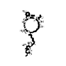 CC[C@H]1C[C@H](C)[C@@]2(NC1=O)O[C@@H](C[C@H](O)[C@@H](C)CC/C=C/C=C(\C)[C@@H]1C/C=C/C=C/[C@H](O)[C@H](C)[C@@H](O)[C@@H](CCC(C)=O)C(=O)N[C@@H](C(C)C)C(=O)N[C@@H](Cc3cccc(O)c3)C(=O)NCCC[C@H](N)C(=O)O1)[C@H](C)[C@H](O)[C@@H]2C